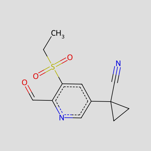 CCS(=O)(=O)c1cc(C2(C#N)CC2)cnc1C=O